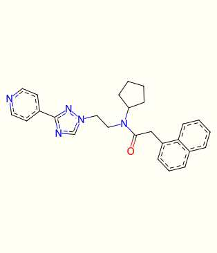 O=C(Cc1cccc2ccccc12)N(CCn1cnc(-c2ccncc2)n1)C1CCCC1